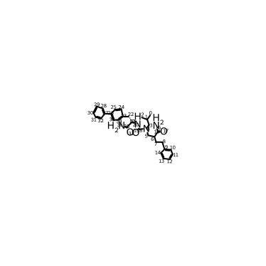 CC(C)CN(CC(CCc1ccccc1)C(N)=O)C(=O)N[C@@H](Cc1ccc(-c2ccccc2)cc1)C(N)=O